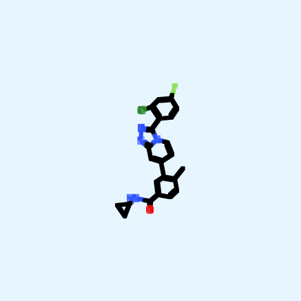 Cc1ccc(C(=O)NC2CC2)cc1-c1ccn2c(-c3ccc(F)cc3Cl)nnc2c1